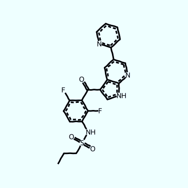 CCCS(=O)(=O)Nc1ccc(F)c(C(=O)c2c[nH]c3ncc(-c4ccccn4)cc23)c1F